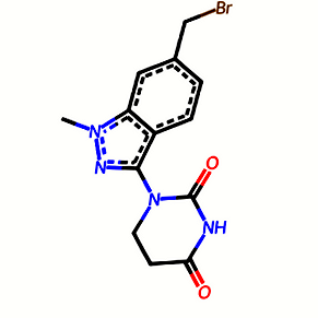 Cn1nc(N2CCC(=O)NC2=O)c2ccc(CBr)cc21